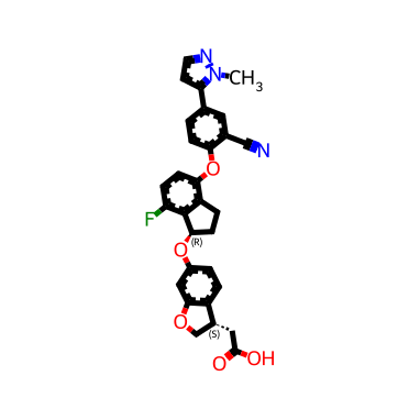 Cn1nccc1-c1ccc(Oc2ccc(F)c3c2CC[C@H]3Oc2ccc3c(c2)OC[C@H]3CC(=O)O)c(C#N)c1